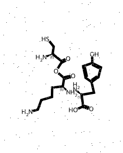 NCCCC[C@H](N)C(=O)OC(=O)[C@@H](N)CS.N[C@@H](Cc1ccc(O)cc1)C(=O)O